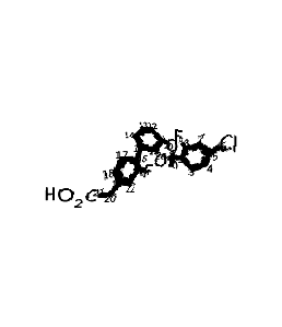 CC1(c2ccc(Cl)cc2F)Oc2cccc(-c3ccc(CC(=O)O)cc3F)c2O1